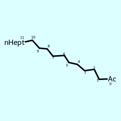 [CH2]C(=O)CCCCCCCCCCCCCCCCC